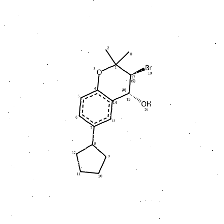 CC1(C)Oc2ccc(C3CCCC3)cc2[C@@H](O)[C@@H]1Br